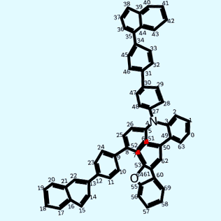 c1ccc(N(c2ccc(-c3ccc(-c4ccc5ccccc5c4)cc3)cc2)c2ccc(-c3ccc(-c4cccc5ccccc45)cc3)cc2)c(-c2ccc3oc4ccccc4c3c2)c1